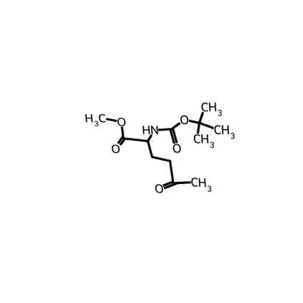 COC(=O)C(CCC(C)=O)NC(=O)OC(C)(C)C